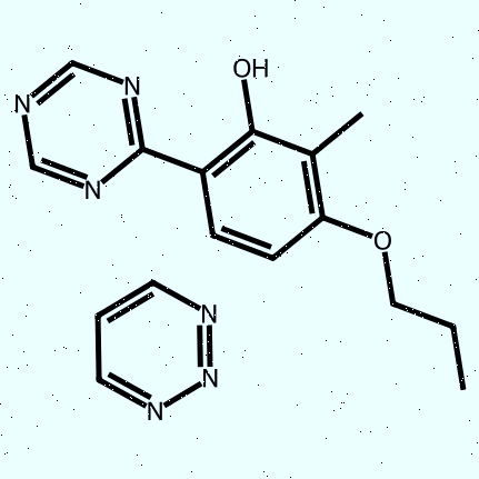 CCCOc1ccc(-c2ncncn2)c(O)c1C.c1cnnnc1